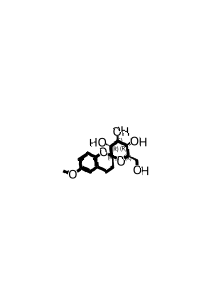 COc1ccc2c(c1)CC[C@]1(O2)O[C@H](CO)[C@H](O)[C@H](O)[C@H]1O